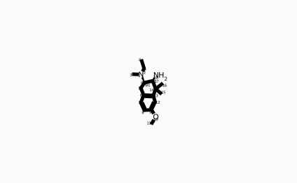 CCN(C)[C@@H]1Cc2ccc(OC)cc2C(C)(C)[C@@H]1N